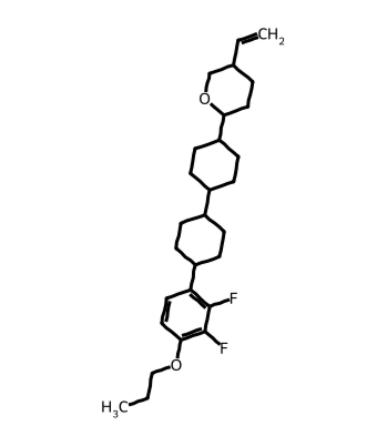 C=CC1CCC(C2CCC(C3CCC(c4ccc(OCCC)c(F)c4F)CC3)CC2)OC1